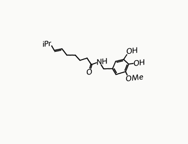 COc1cc(CNC(=O)CCCCC=CC(C)C)cc(O)c1O